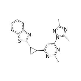 Cc1nc([C@H]2C[C@@H]2c2nc3ccccc3s2)cc(-n2nc(C)nc2C)n1